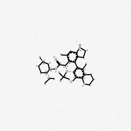 Cc1cc2c(c(-c3cc(F)c4c(c3C)CCCO4)c1[C@H](OC(C)(C)C)C(=O)O[C@@H]1C[C@H](C)CC[C@H]1C(C)C)CCN2